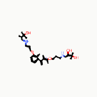 C=C(/C(C)=C(\C)OCCCNCC(O)C(C)(C)O)c1cccc(OCCCNCC(C)C(C)(C)O)c1C